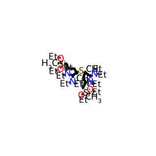 CCO[Si](C)(CCCC(C)(SC(C)(CCC[Si](C)(OCC)OCC)C(N(CC)CC)N(CC)CC)C(N(CC)CC)N(CC)CC)OCC